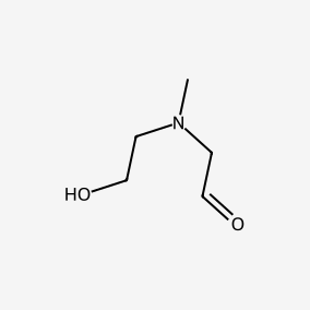 CN(CC=O)CCO